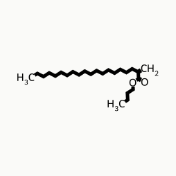 C=C(CCCCCCCCCCCCCCCCCC)C(=O)OCCCC